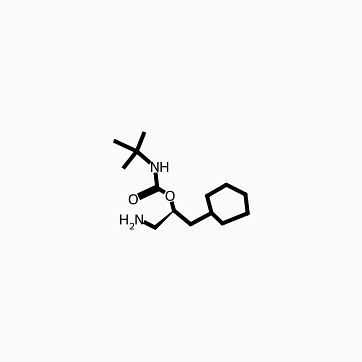 CC(C)(C)NC(=O)O[C@H](CN)CC1CCCCC1